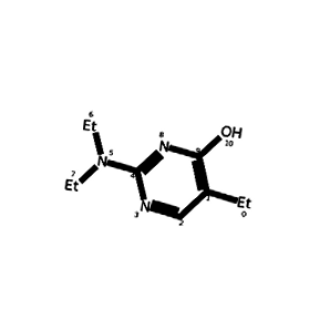 CCc1cnc(N(CC)CC)nc1O